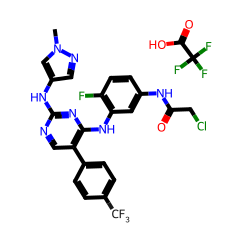 Cn1cc(Nc2ncc(-c3ccc(C(F)(F)F)cc3)c(Nc3cc(NC(=O)CCl)ccc3F)n2)cn1.O=C(O)C(F)(F)F